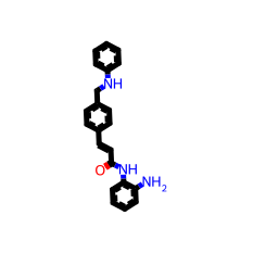 Nc1ccccc1NC(=O)/C=C/c1ccc(CNc2ccccc2)cc1